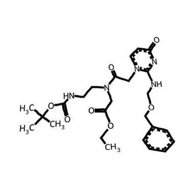 CCOC(=O)CN(CCNC(=O)OC(C)(C)C)C(=O)Cn1ccc(=O)nc1NCOCc1ccccc1